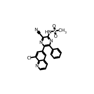 CS(=O)(=O)Nc1nc(-c2ccccc2)c(-c2cc(Cl)c3ncccc3c2)nc1C#N